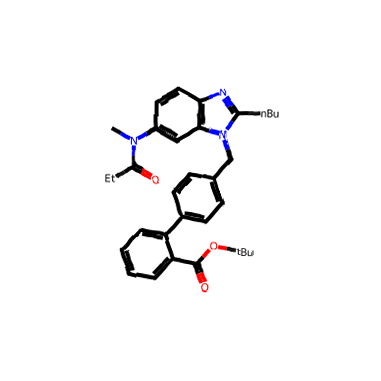 CCCCc1nc2ccc(N(C)C(=O)CC)cc2n1Cc1ccc(-c2ccccc2C(=O)OC(C)(C)C)cc1